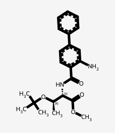 COC(=O)[C@@H](NC(=O)c1ccc(-c2ccccc2)cc1N)[C@@H](C)OC(C)(C)C